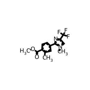 COC(=O)c1ccc(-c2nc(C(F)(F)F)cn2C)cc1C